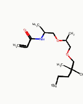 C=CC(=O)NC(C)COC(C)COCC(C)(C)CCC(C)(C)C